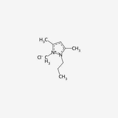 CCCn1c(C)cc(C)[n+]1C.[Cl-]